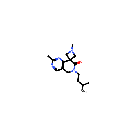 COC(C)CCN1Cc2cnc(C)nc2C2(CN(C)C2)C1=O